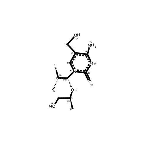 C[C@H](F)[C@@H](O[C@@H](C)CO)n1cc(CO)c(N)nc1=O